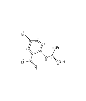 CCC(=O)c1cc(Br)ccc1O[C@H](C(=O)O)C(C)C